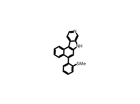 CSc1ccccc1-c1cc2[nH]c3cnccc3c2c2ccccc12